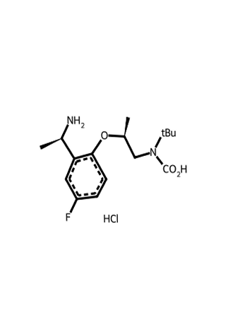 C[C@@H](CN(C(=O)O)C(C)(C)C)Oc1ccc(F)cc1[C@@H](C)N.Cl